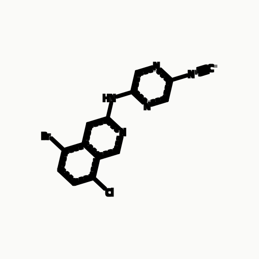 [C-]#[N+]c1cnc(Nc2cc3c(Br)ccc(Cl)c3cn2)cn1